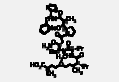 CC[C@H](C)[C@@H]([C@@H](CC(=O)N1CCC[C@H]1[C@H](OC)[C@@H](C)C(=O)N[C@@H](Cc1ccccc1)c1nccs1)ON)N(C)C(=O)[C@@H](NC(=O)[C@H](C(C)C)C(C)CCOCCN(C)C(=O)O)C(C)C